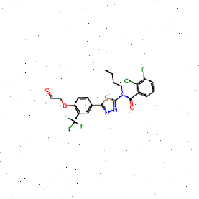 CCCCN(C(=O)c1cccc(F)c1Cl)c1nnc(-c2ccc(OCC=O)c(C(F)(F)F)c2)s1